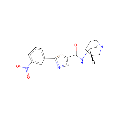 O=C(N[C@H]1CN2CCC1CC2)c1cnc(-c2cccc([N+](=O)[O-])c2)s1